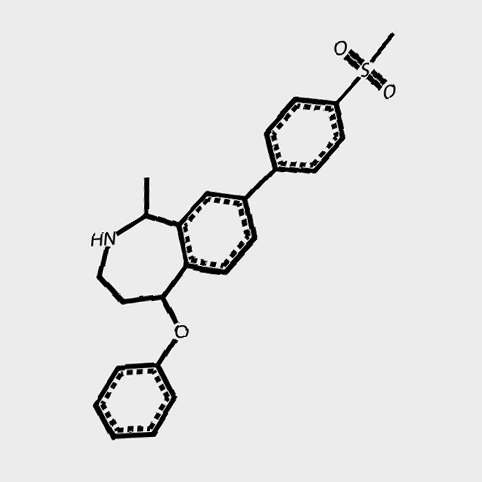 CC1NCCC(Oc2ccccc2)c2ccc(-c3ccc(S(C)(=O)=O)cc3)cc21